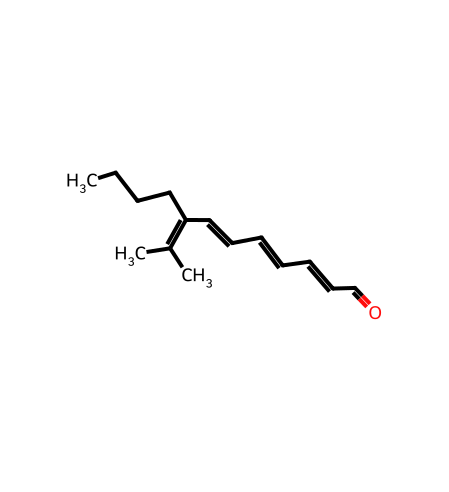 CCCCC(C=CC=CC=CC=O)=C(C)C